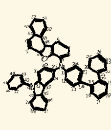 C1=CC2Oc3c(cccc3N(c3ccc(-c4ccccc4-c4ccccc4)cc3)c3ccc4c(c3)c3ccccc3n4-c3ccccc3)C2c2ccccc21